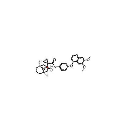 COc1cc2nccc(Oc3ccc(NC(=O)C4(C(=O)N5[C@H]6CCC[C@@H]5CCC6)CC4)cc3)c2cc1OC